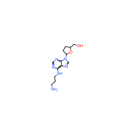 NCCCNc1ncnc2c1ncn2C1CCC(CO)O1